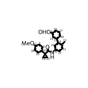 COc1ccc(C2(C(=O)Nc3ccc(C)c(-c4cccc(C=O)c4)c3)CC2)cc1